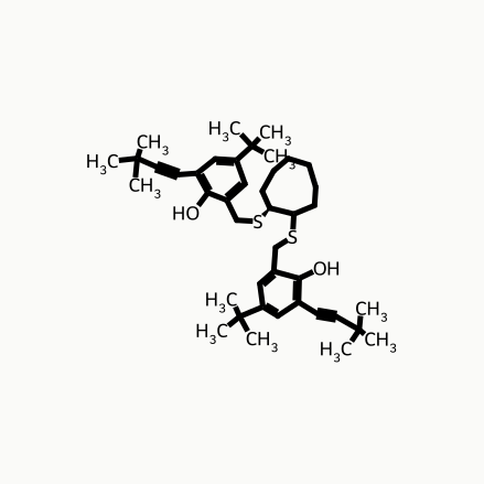 CC(C)(C)C#Cc1cc(C(C)(C)C)cc(CSC2CCCCCC[C@@H]2SCc2cc(C(C)(C)C)cc(C#CC(C)(C)C)c2O)c1O